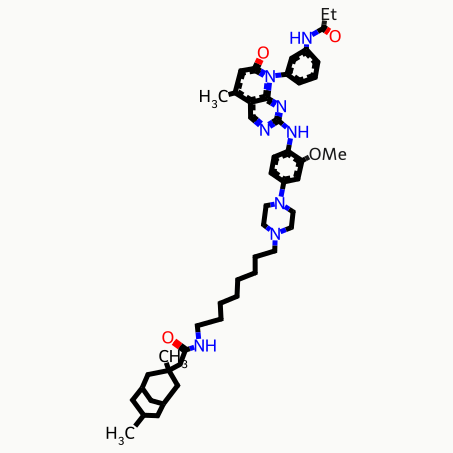 CCC(=O)Nc1cccc(-n2c(=O)cc(C)c3cnc(Nc4ccc(N5CCN(CCCCCCCCNC(=O)CC6(C)CC7CC(C)CC(C7)C6)CC5)cc4OC)nc32)c1